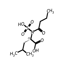 CCCC(=O)N([C@@H](CC(C)C)C(=O)O)S(=O)(=O)O